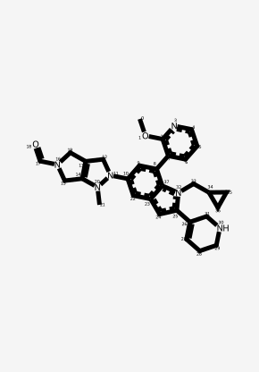 COc1ncccc1-c1cc(N2CC3=C(CN(C=O)C3)N2C)cc2cc(C3=CCCNC3)n(CC3CC3)c12